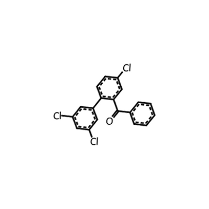 O=C(c1ccccc1)c1cc(Cl)ccc1-c1cc(Cl)cc(Cl)c1